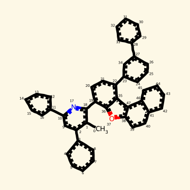 Cc1c(-c2ccccc2)cc(-c2ccccc2)nc1-c1ccc(-c2cccc(-c3ccccc3)c2)c2c1oc1ccc3ccccc3c12